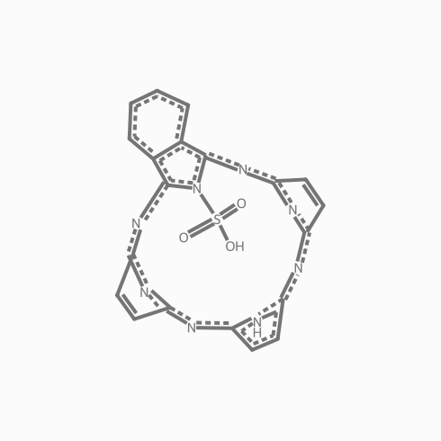 O=S(=O)(O)n1c2nc3nc(nc4ccc(nc5nc(nc1c1ccccc12)C=C5)[nH]4)C=C3